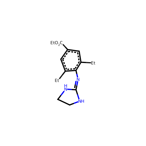 CCOC(=O)c1cc(CC)c(N=C2NCCN2)c(CC)c1